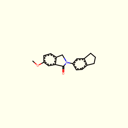 COc1ccc2c(c1)C(=O)N(c1ccc3c(c1)CCC3)C2